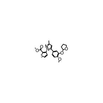 COC(=O)c1sccc1-n1nc(C)cc1-c1ccc(OC)c(OC2CCCO2)c1